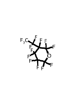 FC(F)(F)C(F)(F)C1(F)C(F)(F)OC(F)(F)C(F)(F)C1(F)F